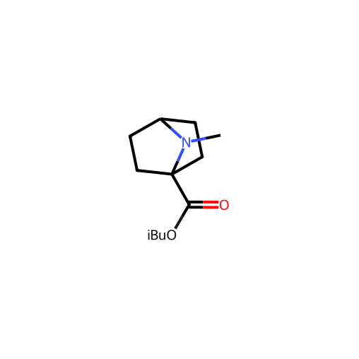 CC(C)COC(=O)C12CCC(CC1)N2C